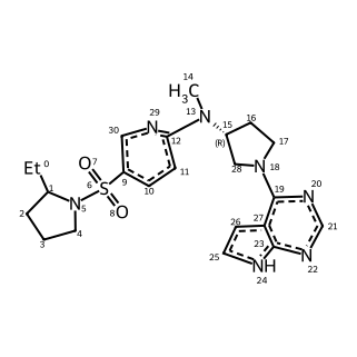 CCC1CCCN1S(=O)(=O)c1ccc(N(C)[C@@H]2CCN(c3ncnc4[nH]ccc34)C2)nc1